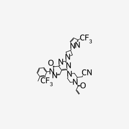 C=CC(=O)N1CCN(c2nc(N3CC(n4ccc(C(F)(F)F)n4)C3)nc3c(=O)n(-c4cccc(C)c4C(F)(F)F)ncc23)CC1CC#N